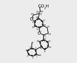 Cc1cccc(C)c1-c1cccc(C2CCc3cc4c(cc3O2)OC[C@H]4CC(=O)O)c1